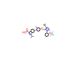 Cc1cc(OCc2c(C3CC3)cnn2-c2ccccc2OC(F)(F)F)ccc1-c1ccc2c(C(=O)O)cn(C(C)C)c2c1